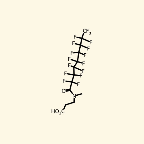 CN(CCC(=O)O)C(=O)C(F)(F)C(F)(F)C(F)(F)C(F)(F)C(F)(F)C(F)(F)C(F)(F)C(F)(F)F